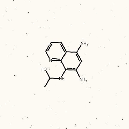 CC(O)Nc1c(N)cc(N)c2cccnc12